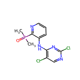 CP(C)(=O)c1ncccc1Nc1nc(Cl)ncc1Cl